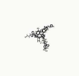 CCCCOC(=O)n1nc(N)c2c(-c3c(-c4ccc5nn(CCOC)cc5c4)nn(C4CC5(C4)CN(C(=O)OC(C)(C)C)C5)c3C)c(Cl)c(C)cc21